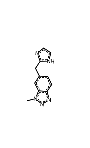 Cn1nnc2ccc(Cc3ncc[nH]3)cc21